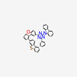 c1ccc(-c2nc(-c3ccc4oc5cccc(-c6ccc7c(c6)sc6ccccc67)c5c4c3)nc(-n3c4ccccc4c4ccccc43)n2)cc1